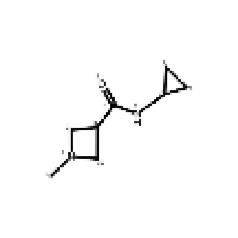 CN1CC(C(=O)NC2CC2)C1